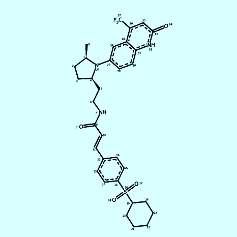 C[C@@H]1CC[C@H](CCNC(=O)/C=C/c2ccc(S(=O)(=O)C3CCCCC3)cc2)N1c1ccc2[nH]c(=O)cc(C(F)(F)F)c2c1